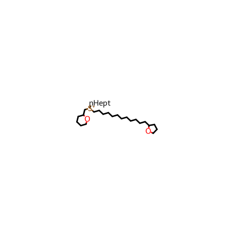 CCCCCCC[S+](CCCCCCCCCCCCC1CCCO1)CC1CCCCO1